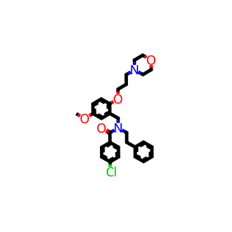 COc1ccc(OCCCN2CCOCC2)c(CN(CCc2ccccc2)C(=O)c2ccc(Cl)cc2)c1